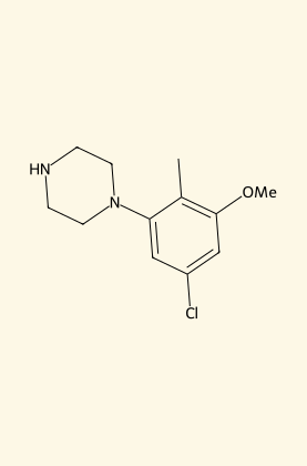 COc1cc(Cl)cc(N2CCNCC2)c1C